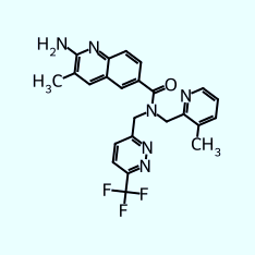 Cc1cc2cc(C(=O)N(Cc3ccc(C(F)(F)F)nn3)Cc3ncccc3C)ccc2nc1N